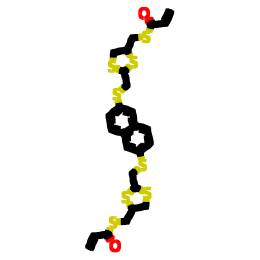 C=CC(=O)SCC1CSC(CSc2ccc3cc(SCC4SCC(CSC(=O)C=C)S4)ccc3c2)S1